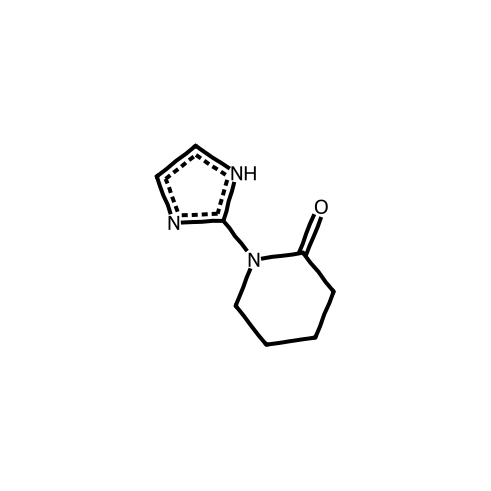 O=C1CCCCN1c1ncc[nH]1